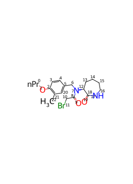 CCCOc1ccc(CN(C(=O)CBr)[C@H]2CCCCNC2=O)cc1C